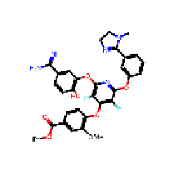 COc1cc(C(=O)OC(C)C)ccc1Oc1c(F)c(Oc2cccc(C3=NCCN3C)c2)nc(Oc2cc(C(=N)N)ccc2O)c1F